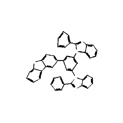 c1ccc(-c2nc3ccccc3n2-c2cc(-c3ccc4oc5ccccc5c4c3)cc(-n3c(-c4ccccc4)nc4ccccc43)c2)cc1